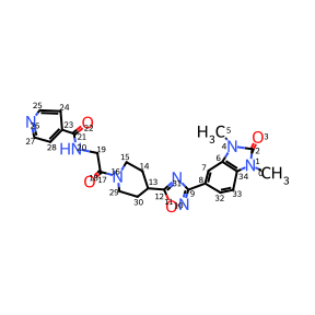 Cn1c(=O)n(C)c2cc(-c3noc(C4CCN(C(=O)CNC(=O)c5ccncc5)CC4)n3)ccc21